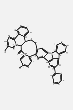 C=C1C2C(CCc3cc4c(cc3-c3ccc(C)c[n+]31)c1cc(-c3ccccc3)cc3c5ccccc5n4c31)c1ccccc1-c1ccc(C)c[n+]12